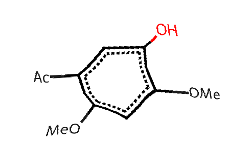 COc1cc(OC)c(C(C)=O)cc1O